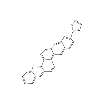 c1csc(-c2ccc3cc4c(ccc5c6cc7ccccc7cc6ccc45)cc3c2)c1